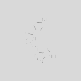 Nc1ccc(C(=O)N2CCN(c3ncnc4[nH]cc(Cl)c34)CC23CC3)cc1